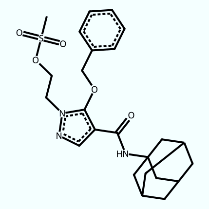 CS(=O)(=O)OCCn1ncc(C(=O)NC23CC4CC(CC(C4)C2)C3)c1OCc1ccccc1